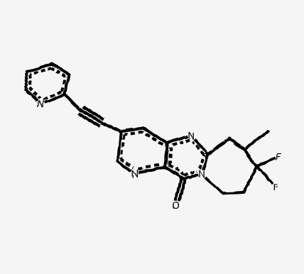 CC1Cc2nc3cc(C#Cc4ccccn4)cnc3c(=O)n2CCC1(F)F